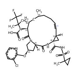 C[C@@H]1CC/C=C\[C@@H]2C[C@@]2(C(=O)NS(=O)(=O)C2(C)CC2)NC(=O)[C@@H]2C[C@@H](Oc3ncccc3Cl)CN2C(=O)[C@@H](N(C(=O)O)C(C)(C)C(F)(F)F)[C@H](C)C1